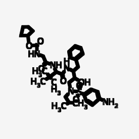 CC(C)CN(CC(O)C(Cc1ccccc1)NC(=O)C(NC(=O)CNC(=O)OC1CCCC1)C(C)(C)C)S(=O)(=O)c1ccc(N)cc1